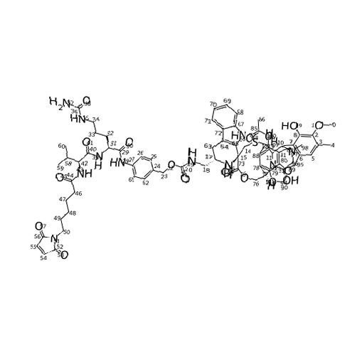 COc1c(C)cc2c(c1O)C1[C@@H]3[C@@H]4SC[C@]5(N[C@H](CNC(=O)OCc6ccc(NC(=O)[C@H](CCCNC(N)=O)NC(=O)[C@@H](NC(=O)CCCCCN7C(=O)C=CC7=O)C(C)C)cc6)Cc6c5[nH]c5ccccc65)C(=O)OC[C@@H](c5c6c(c(C)c(OC(C)=O)c54)OCO6)N3C(O)(C2)CN1C